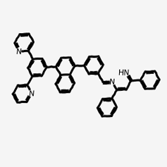 N=C(/C=C(\N=C\c1cccc(-c2ccc(-c3cc(-c4ccccn4)cc(-c4ccccn4)c3)c3ccccc23)c1)c1ccccc1)c1ccccc1